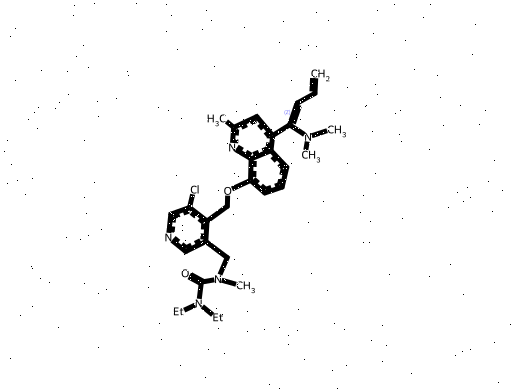 C=C/C=C(/c1cc(C)nc2c(OCc3c(Cl)cncc3CN(C)C(=O)N(CC)CC)cccc12)N(C)C